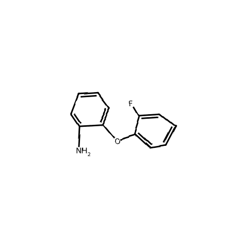 Nc1ccccc1Oc1ccccc1F